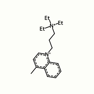 CC[N+](CC)(CC)CCC[n+]1ccc(C)c2ccccc21